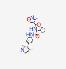 Cc1ccnc(C)c1-c1ccc(NC(=O)C(NC(=O)c2conc2C)C2CCCC2)cc1